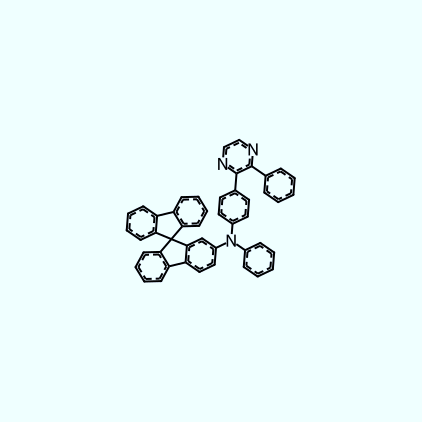 c1ccc(-c2nccnc2-c2ccc(N(c3ccccc3)c3ccc4c(c3)C3(c5ccccc5-c5ccccc53)c3ccccc3-4)cc2)cc1